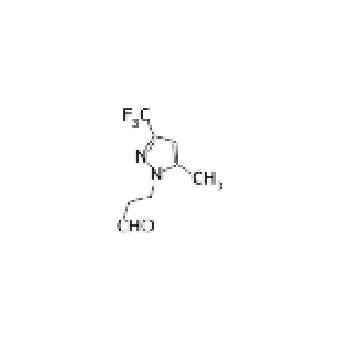 Cc1cc(C(F)(F)F)nn1CCC=O